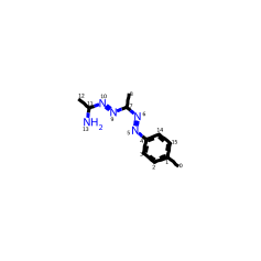 Cc1ccc(N=NC(C)N=NC(C)N)cc1